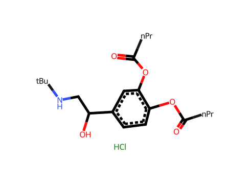 CCCC(=O)Oc1ccc(C(O)CNC(C)(C)C)cc1OC(=O)CCC.Cl